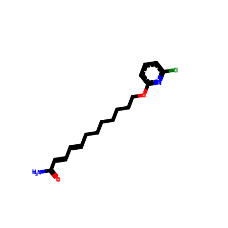 NC(=O)C=CC=CCCCCCCCOc1cccc(Cl)n1